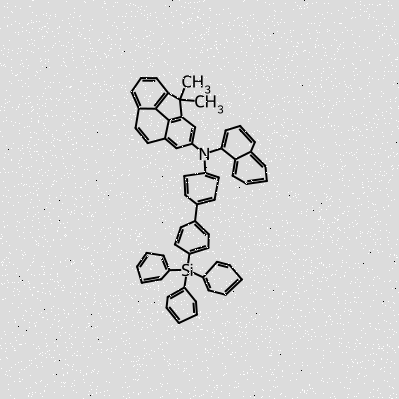 CC1(C)c2cccc3ccc4cc(N(c5ccc(-c6ccc([Si](c7ccccc7)(c7ccccc7)c7ccccc7)cc6)cc5)c5cccc6ccccc56)cc1c4c23